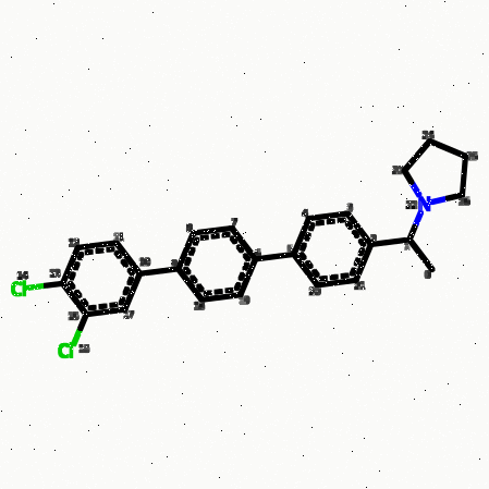 CC(c1ccc(-c2ccc(-c3ccc(Cl)c(Cl)c3)cc2)cc1)N1CCCC1